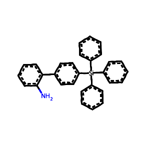 Nc1ccccc1-c1ccc([Si](c2ccccc2)(c2ccccc2)c2ccccc2)cc1